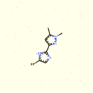 CCc1cnc(-c2cc(C)n(C)n2)[nH]1